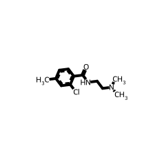 Cc1ccc(C(=O)NCCN(C)C)c(Cl)c1